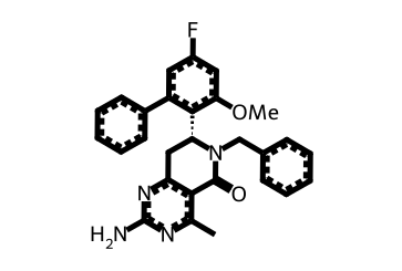 COc1cc(F)cc(-c2ccccc2)c1[C@H]1Cc2nc(N)nc(C)c2C(=O)N1Cc1ccccc1